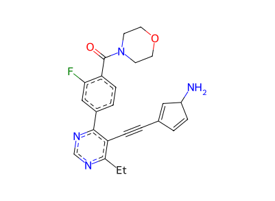 CCc1ncnc(-c2ccc(C(=O)N3CCOCC3)c(F)c2)c1C#CC1=CC(N)C=C1